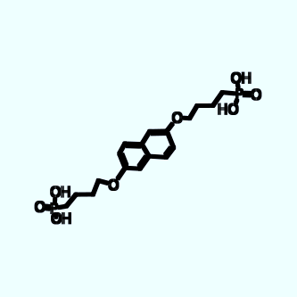 O=P(O)(O)CCCCOc1ccc2cc(OCCCCP(=O)(O)O)ccc2c1